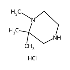 CN1CCNCC1(C)C.Cl